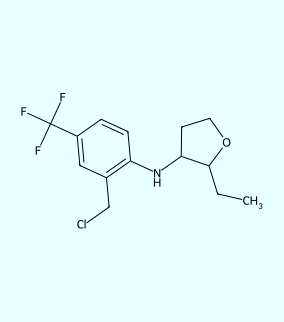 CCC1OCCC1Nc1ccc(C(F)(F)F)cc1CCl